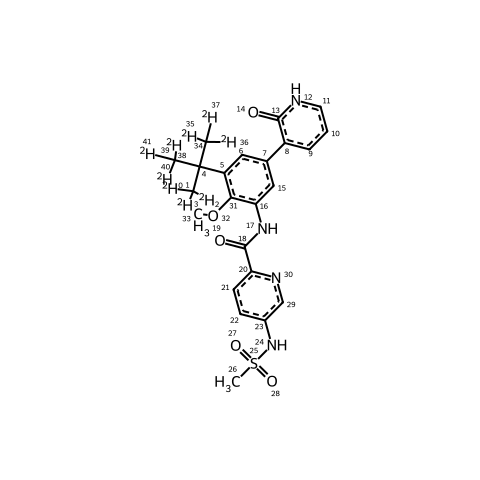 [2H]C([2H])([2H])C(c1cc(-c2ccc[nH]c2=O)cc(NC(=O)c2ccc(NS(C)(=O)=O)cn2)c1OC)(C([2H])([2H])[2H])C([2H])([2H])[2H]